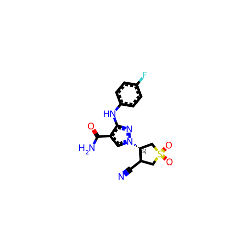 N#CC1CS(=O)(=O)C[C@H]1n1cc(C(N)=O)c(Nc2ccc(F)cc2)n1